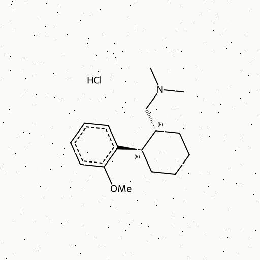 COc1ccccc1[C@@H]1CCCC[C@H]1CN(C)C.Cl